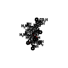 C[C@@H](O)[C@H](NC(=O)[C@H](Cc1ccccc1)NC(=O)[C@H](Cc1c[nH]c2ccccc12)NC(=O)[C@H](CCCNC(=N)N)NC(=O)[C@@H](NC(=O)[C@H](Cc1c[nH]c2ccccc12)NC(=O)[C@H](CCCNC(=N)N)NC(=O)[C@H](CCCNC(=N)N)NC(=O)[C@H](Cc1ccccc1)NC(=O)[C@@H](N)Cc1c[nH]c2ccccc12)[C@@H](C)O)C(=O)O